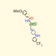 COc1ccc2sc(C(=O)NCCCCN3CCC(Nc4cccc(C(F)(F)F)c4)CC3)cc2c1.Cl.Cl